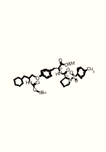 COC(=O)[C@H](Cc1ccc(OCC(CC2CCCCC2)NC(=O)OC(C)(C)C)cc1)NC(=O)[C@@H]1CCCN1S(=O)(=O)c1ccc(C)cc1